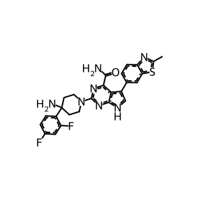 Cc1nc2ccc(-c3c[nH]c4nc(N5CCC(N)(c6ccc(F)cc6F)CC5)nc(C(N)=O)c34)cc2s1